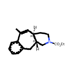 CCOC(=O)N1CC[C@@H]2C=C(C)c3ccccc3C[C@H]2C1